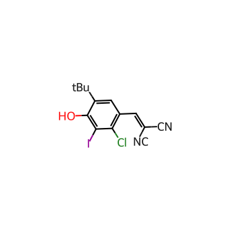 CC(C)(C)c1cc(C=C(C#N)C#N)c(Cl)c(I)c1O